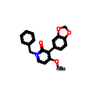 CCCCOc1ccn(Cc2ccccc2)c(=O)c1-c1ccc2c(c1)OCO2